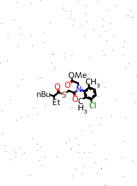 CCCCC(CC)C(=O)SCC(=O)N(CC(=O)OC)c1c(C)ccc(Cl)c1C